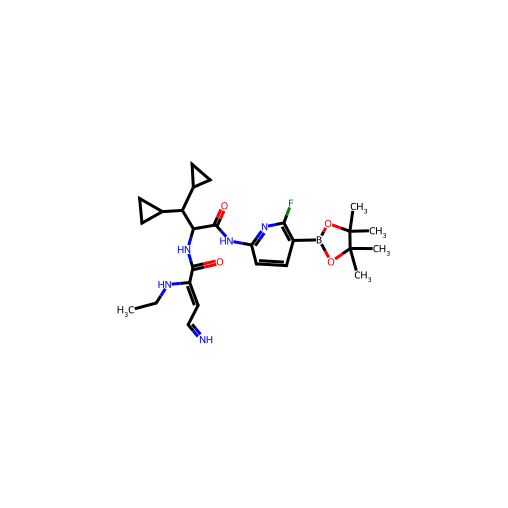 CCN/C(=C\C=N)C(=O)NC(C(=O)Nc1ccc(B2OC(C)(C)C(C)(C)O2)c(F)n1)C(C1CC1)C1CC1